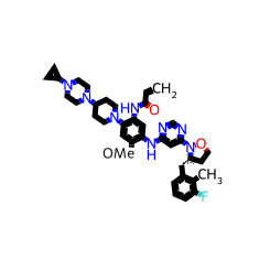 C=CC(=O)Nc1cc(Nc2cc(N3OCC[C@@H]3Cc3cccc(F)c3C)ncn2)c(OC)cc1N1CCC(N2CCN(C3CC3)CC2)CC1